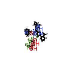 CC(C)c1ccccc1-c1ncc2c(NCC3(N(C)C)CCC3)nc(OCC34CCCN3CCC4)nc2c1F.O=C(O)C(F)(F)F.O=C(O)C(F)(F)F